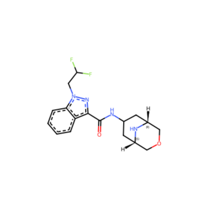 O=C(NC1C[C@H]2COC[C@@H](C1)N2)c1nn(CC(F)F)c2ccccc12